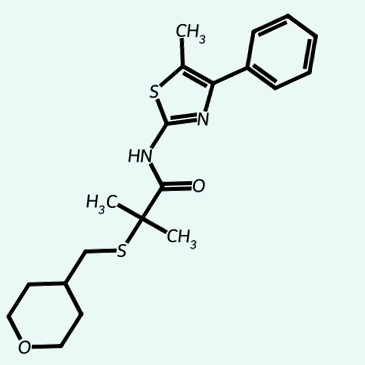 Cc1sc(NC(=O)C(C)(C)SCC2CCOCC2)nc1-c1ccccc1